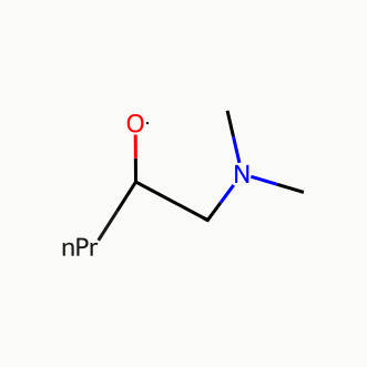 CCCC([O])CN(C)C